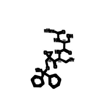 CCCCCCC(=O)N[C@@H](CO)C(=O)N[C@@H](CC(C)C)C(=O)[C@@]1(CO[Si](c2ccccc2)(c2ccccc2)C(C)(C)C)CO1